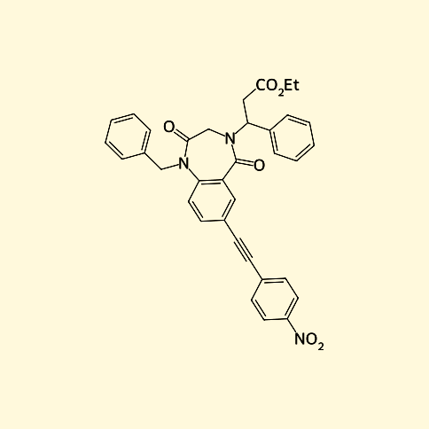 CCOC(=O)CC(c1ccccc1)N1CC(=O)N(Cc2ccccc2)c2ccc(C#Cc3ccc([N+](=O)[O-])cc3)cc2C1=O